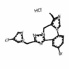 Cc1ncn2c1Cn1nc(Cn3cc(Cl)cn3)nc1-c1cc(Br)ccc1-2.Cl